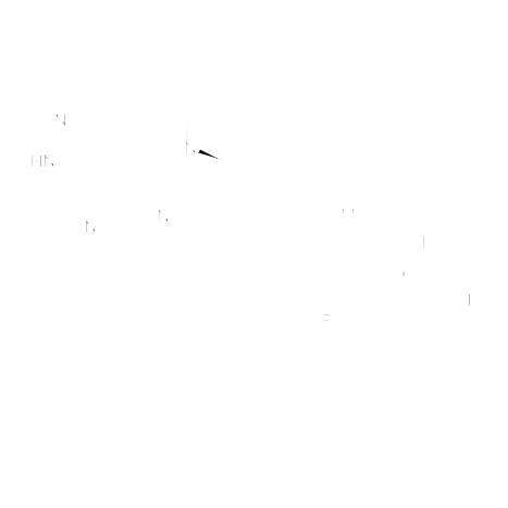 Fc1cccc(F)c1[C@@H](F)CO[C@H]1CC[C@H](Nc2ncnc3[nH]ncc23)CC1